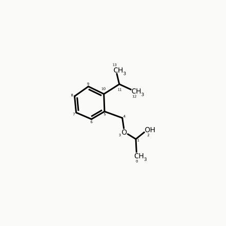 CC(O)OCc1ccccc1C(C)C